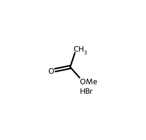 Br.COC(C)=O